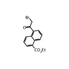 CCOC(=O)c1cccc2c(C(=O)CBr)cccc12